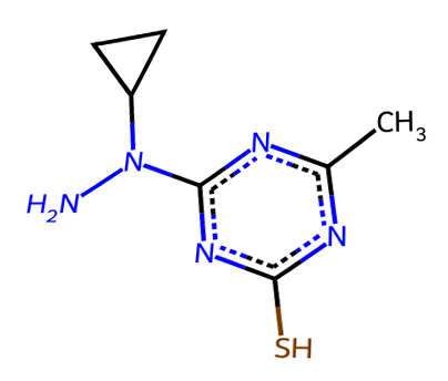 Cc1nc(S)nc(N(N)C2CC2)n1